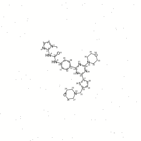 Cn1ccnc1NC(=O)Nc1ccc(-c2nc(-c3ccc(CN4CCOCC4)s3)nc(N3CCOCC3)n2)cc1